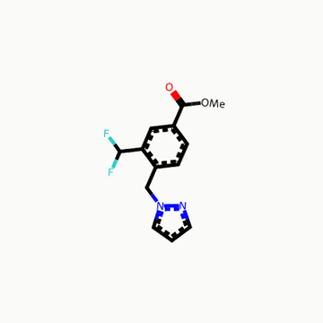 COC(=O)c1ccc(Cn2cccn2)c(C(F)F)c1